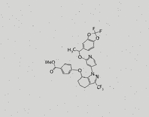 COC(=O)c1ccc(OC2CCCc3c(C(F)(F)F)nn(-c4ccnc(OC(C)c5ccc6c(c5)OC(F)(F)O6)c4)c32)cc1